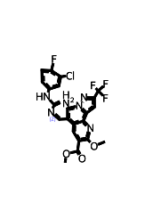 C=C(/N=C\c1c(N)n2nc(C(F)(F)F)cc2c2nc(OC)c(C(=O)OC)cc12)Nc1ccc(F)c(Cl)c1